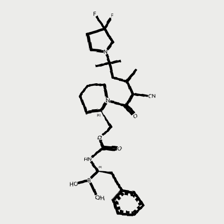 CC(CC(C)(C)N1CCC(F)(F)C1)C(C#N)C(=O)N1CCCC[C@@H]1COC(=O)N[C@@H](Cc1ccccc1)B(O)O